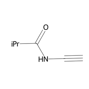 C#CNC(=O)C(C)C